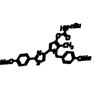 CCCCNC(=O)Oc1cc(-c2csc(-c3ccc(OC)cc3)n2)n(Cc2ccc(OC)cc2)c1C